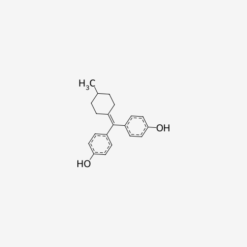 CC1CCC(=C(c2ccc(O)cc2)c2ccc(O)cc2)CC1